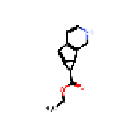 CCOC(=O)C1C2=CC3=C(CNC=C3)C21